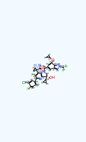 NC(=O)C1(c2cc([C@@](O)(CNC(=O)c3cc(OC4CC4)c4nn(C(F)F)cc4c3)C3CC3)nc(-c3cc(Cl)c(F)cc3F)c2F)CC1